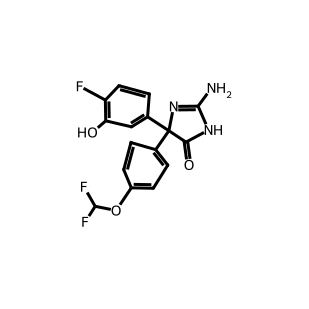 NC1=NC(c2ccc(OC(F)F)cc2)(c2ccc(F)c(O)c2)C(=O)N1